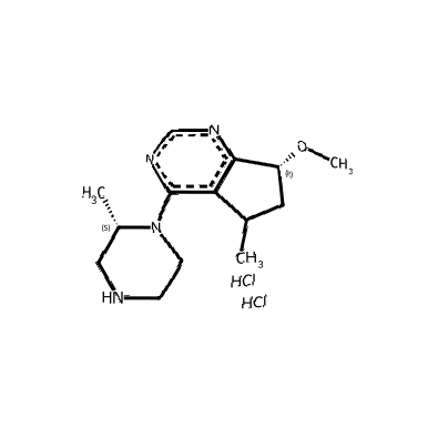 CO[C@@H]1CC(C)c2c1ncnc2N1CCNC[C@@H]1C.Cl.Cl